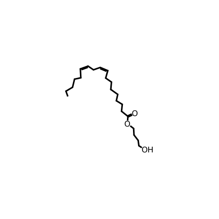 CCCCC/C=C\C/C=C\CCCCCCCC(=O)OCCCCO